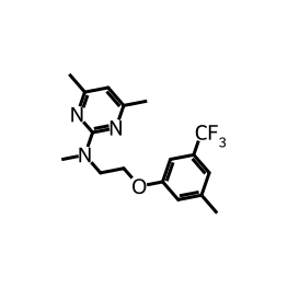 Cc1cc(OCCN(C)c2nc(C)cc(C)n2)cc(C(F)(F)F)c1